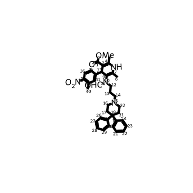 COC(=O)C1=C(C)NC(C)=C(N(C=O)CCCN2CCC(c3ccccc3)(c3ccccc3)CC2)C1c1ccc([N+](=O)[O-])c(C)c1